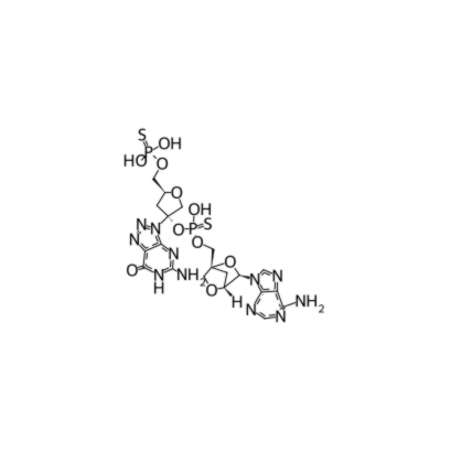 Nc1nc2c(nnn2[C@]2(OP(O)(=S)OC[C@]34CO[C@H](C3)[C@H](n3cnc5c(N)ncnc53)O4)CO[C@H](COP(O)(O)=S)C2)c(=O)[nH]1